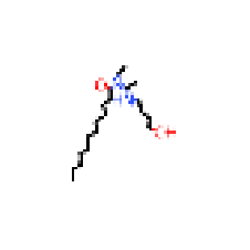 CCCCCCCCCCCC(=O)N(CC)C(C)NCCCCO